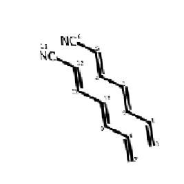 C=CC=CC=CC#N.C=CC=CC=CC#N